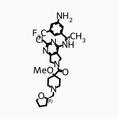 COC1(C(=O)N2Cc3nc(Cl)nc(N[C@H](C)c4cc(N)cc(C(F)(F)F)c4)c3C2)CCN(C[C@H]2CCCO2)CC1